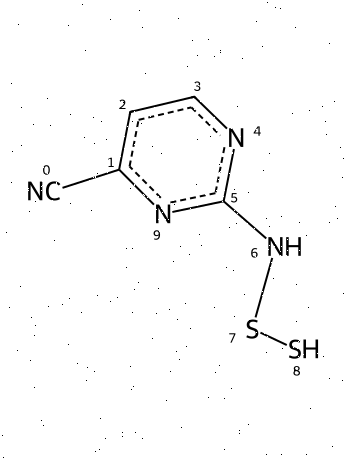 N#Cc1ccnc(NSS)n1